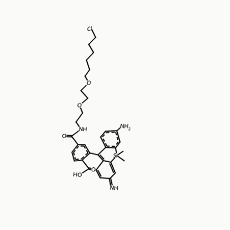 C[Si]1(C)C2=CC(=N)C=CC2=C(c2cc(C(=O)NCCOCCOCCCCCCCl)ccc2C(=O)O)c2ccc(N)cc21